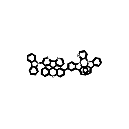 c1ccc2c(c1)Sc1ccc(-c3ccc4c(c3)c3ccccc3n4-c3ncccc3-n3c4ccccc4c4ccccc43)cc1C21c2cccnc2-c2ncc(-n3c4ccccc4c4ccccc43)cc21